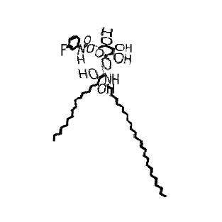 CCCCCCCCCCCCCCCCCCCCCCCCCCN[C@@H](CO[C@H]1O[C@H](COC(=O)Nc2cccc(F)c2)[C@H](O)[C@H](O)[C@H]1O)[C@H](O)[C@H](O)CCCCCCCCCCCCCC